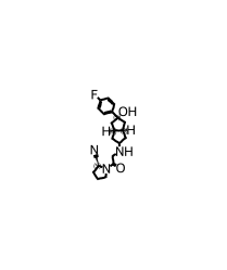 N#C[C@@H]1CCCN1C(=O)CNC1C[C@@H]2C[C@](O)(c3ccc(F)cc3)C[C@@H]2C1